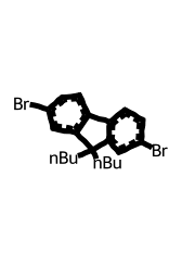 CCCCC1(CCCC)c2cc(Br)ccc2-c2ccc(Br)cc21